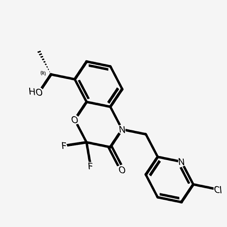 C[C@@H](O)c1cccc2c1OC(F)(F)C(=O)N2Cc1cccc(Cl)n1